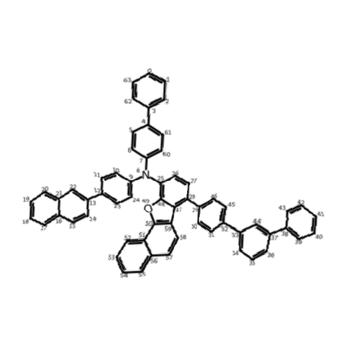 c1ccc(-c2ccc(N(c3ccc(-c4ccc5ccccc5c4)cc3)c3ccc(-c4ccc(-c5cccc(-c6ccccc6)c5)cc4)c4c3oc3c5ccccc5ccc34)cc2)cc1